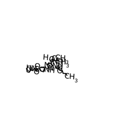 CCCCOC(=O)CNc1nc(Nc2ccc(S(=O)(=O)NCC3CCCO3)cc2)ncc1C(=O)NC(C)(C)C